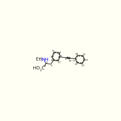 CCNC(Cc1cccc(C#Cc2ccccc2)c1)C(=O)O